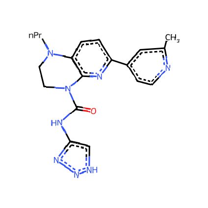 CCCN1CCN(C(=O)Nc2c[nH]nn2)c2nc(-c3ccnc(C)c3)ccc21